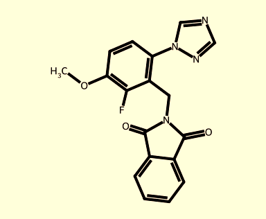 COc1ccc(-n2cncn2)c(CN2C(=O)c3ccccc3C2=O)c1F